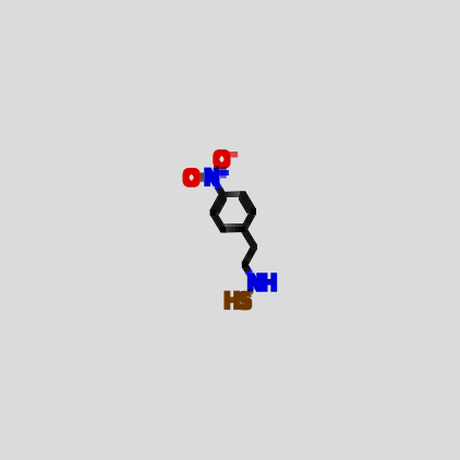 O=[N+]([O-])c1ccc(CCNS)cc1